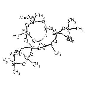 CO[Si@]1(C)O[Si]2(C)O[Si](C)(O[Si](C)(C)C)O[Si]3(C)O[Si](C)(O[Si](C)(C)O[Si](C)(C)C)O[Si@@](C)(O[Si](C)(O3)O2)O1